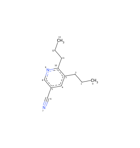 CCCc1cc(C#N)cnc1CCC